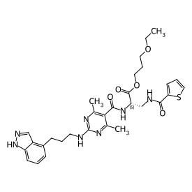 CCOCCCOC(=O)[C@H](CNC(=O)c1cccs1)NC(=O)c1c(C)nc(NCCCc2cccc3[nH]ncc23)nc1C